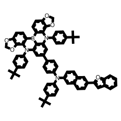 CC(C)(C)c1ccc(N(c2ccc(-c3cc4c5c(c3)N(c3ccc(C(C)(C)C)cc3)c3c(ccc6c3OCO6)B5c3ccc5c(c3N4c3ccc(C(C)(C)C)cc3)OCO5)cc2)c2ccc3cc(-c4cc5ccccc5o4)ccc3c2)cc1